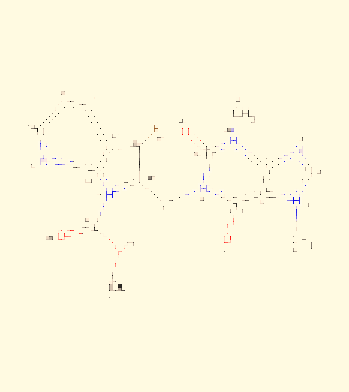 Cn1cnc2c1c(=O)n(Cc1c(Br)c3cccnc3n1C(=O)OC(C)(C)C)c(=O)n2C